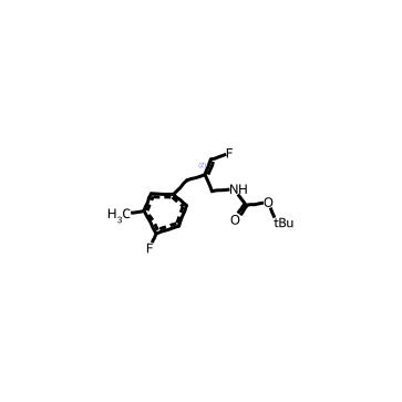 Cc1cc(C/C(=C/F)CNC(=O)OC(C)(C)C)ccc1F